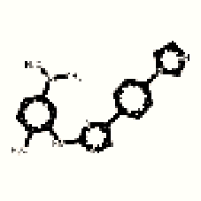 Cc1ccc(N(C)C)cc1Nc1nc(-c2ccc(-n3ccnc3)cc2)cs1